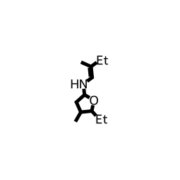 CC/C(C)=C/NC1CC(C)C(CC)O1